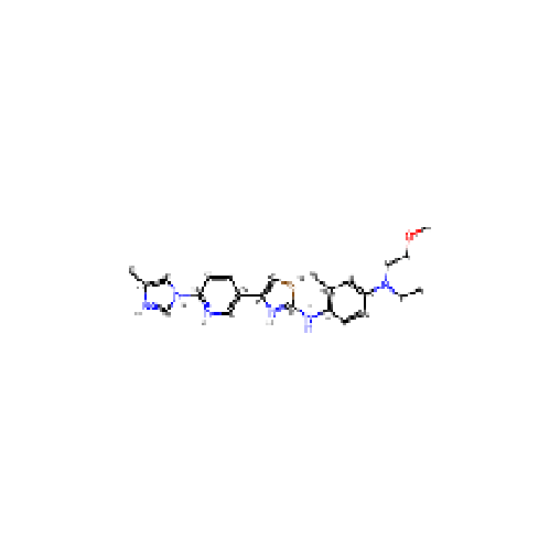 CCN(CCOC)c1ccc(Nc2nc(-c3ccc(-n4cnc(C)c4)nc3)cs2)c(C)c1